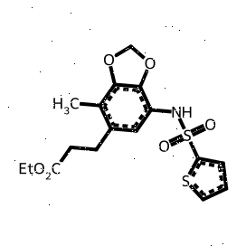 CCOC(=O)CCc1cc(NS(=O)(=O)c2cccs2)c2c(c1C)OCO2